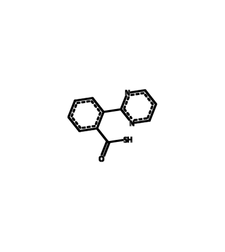 O=C(S)c1ccccc1-c1ncccn1